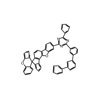 c1ccc(-c2cccc(-c3cccc(-c4nc(-c5ccccc5)nc(-c5ccc6c(c5)oc5c7c(ccc56)C5(c6ccccc6Oc6ccccc65)c5ccccc5-7)n4)c3)c2)cc1